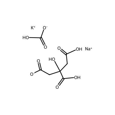 O=C([O-])CC(O)(CC(=O)O)C(=O)O.O=C([O-])O.[K+].[Na+]